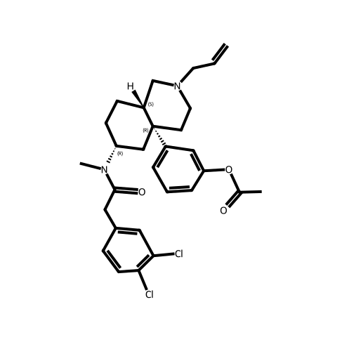 C=CCN1CC[C@@]2(c3cccc(OC(C)=O)c3)C[C@H](N(C)C(=O)Cc3ccc(Cl)c(Cl)c3)CC[C@@H]2C1